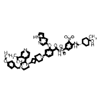 COc1ccc(CN2CCN(C3CC4(CCN(c5ccc(C(=O)NS(=O)(=O)c6ccc(NC[C@H]7CC[C@](C)(O)CC7)c([N+](=O)[O-])c6)c(Oc6cnc7[nH]ccc7c6)c5)CC4)C3)C(c3ccncc3C(C)C)C2)cc1